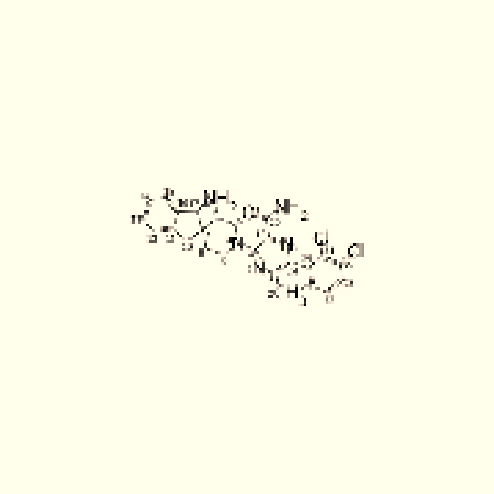 Cc1nc(N2CCC3(CC2)Cc2ccccc2C3N)c(C(N)=O)nc1-c1cccc(Cl)c1Cl